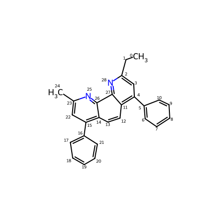 CCc1cc(-c2ccccc2)c2ccc3c(-c4ccccc4)cc(C)nc3c2n1